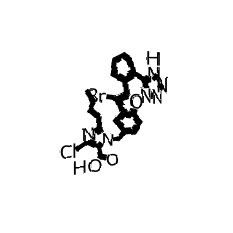 CC/C=C/c1nc(Cl)c(C(=O)O)n1Cc1ccc2oc(-c3ccccc3-c3nnn[nH]3)c(Br)c2c1